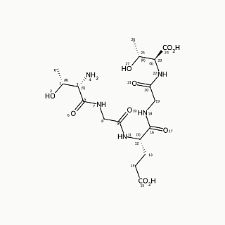 C[C@@H](O)[C@H](N)C(=O)NCC(=O)N[C@@H](CCC(=O)O)C(=O)NCC(=O)N[C@H](C(=O)O)[C@@H](C)O